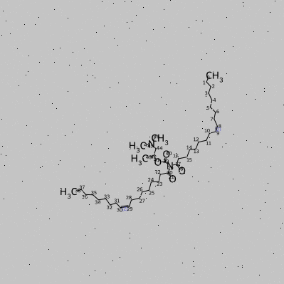 CCCCCCCC/C=C\CCCCCCCC(=O)N(C(=O)CCCCCCC/C=C\CCCCCCCC)C(=O)OC(C)CN(C)C